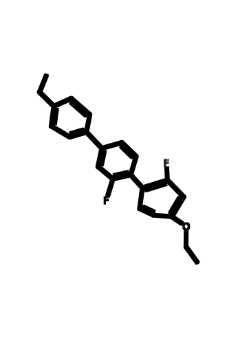 CCOc1ccc(-c2ccc(-c3ccc(CC)cc3)cc2F)c(F)c1